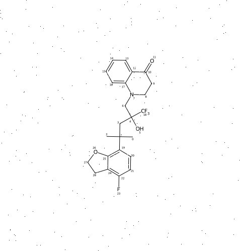 CC(C)(CC(O)(CN1CCC(=O)c2ccccc21)C(F)(F)F)c1ccc(F)c2c1OCC2